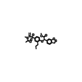 CCCc1cc(S(=O)(=O)NN(C)C(C)=O)ccc1OC(C(=O)OC)c1ccc2c(c1)OOC2